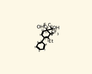 CCC1=C(c2ccccc2)C=CC(C=O)(C(O)(C(F)(F)F)C(F)(F)F)C1F